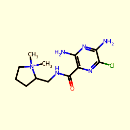 C[N+]1(C)CCCC1CNC(=O)c1nc(Cl)c(N)nc1N